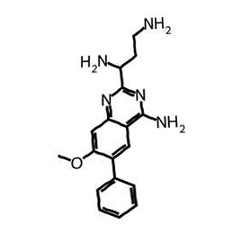 COc1cc2nc(C(N)CCN)nc(N)c2cc1-c1ccccc1